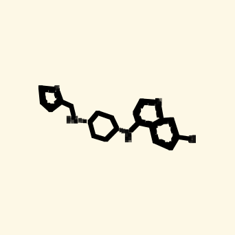 Clc1ccc2c(N[C@H]3CC[C@@H](NCc4cccs4)CC3)ccnc2c1